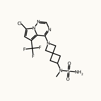 CN(C1CC2(C1)CN(c1ncnn3c(Cl)cc(C(F)(F)F)c13)C2)S(N)(=O)=O